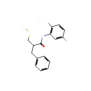 CC(=O)SCC(Cc1ccccc1)C(=O)Nc1cc(Cl)ccc1C(=O)O